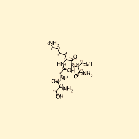 NCCCC[C@H](NC(=O)CNC(=O)[C@@H](N)CO)C(=O)N[C@@H](CS)C(N)=O